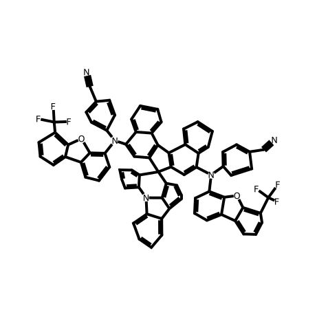 N#Cc1ccc(N(c2cc3c(c4ccccc24)-c2c(cc(N(c4ccc(C#N)cc4)c4cccc5c4oc4c(C(F)(F)F)cccc45)c4ccccc24)C32c3ccccc3-n3c4ccccc4c4cccc2c43)c2cccc3c2oc2c(C(F)(F)F)cccc23)cc1